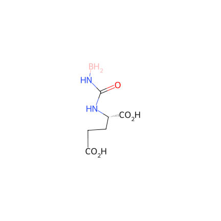 BNC(=O)N[C@@H](CCC(=O)O)C(=O)O